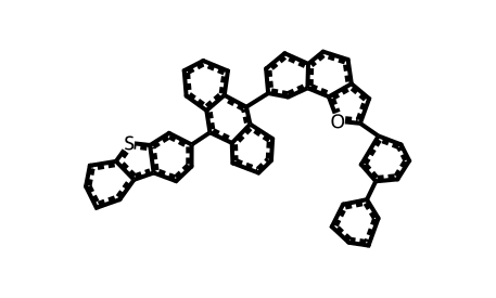 c1ccc(-c2cccc(-c3cc4ccc5ccc(-c6c7ccccc7c(-c7ccc8c(c7)sc7ccccc78)c7ccccc67)cc5c4o3)c2)cc1